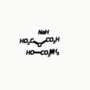 N.O=C(O)O.O=C(O)OC(=O)O.[NaH]